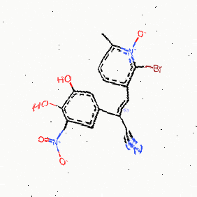 Cc1ccc(/C=C(/C#N)c2cc(O)c(O)c([N+](=O)[O-])c2)c(Br)[n+]1[O-]